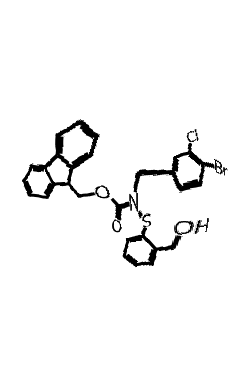 O=C(OCC1c2ccccc2-c2ccccc21)N(Cc1ccc(Br)c(Cl)c1)Sc1ccccc1CO